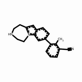 Cc1c(C#N)cccc1-c1ccc2cc3n(c2c1)CCNCC3